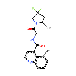 CC(C)c1cccc2nccc(C(=O)NCC(=O)N3CC(F)(F)CC3C#N)c12